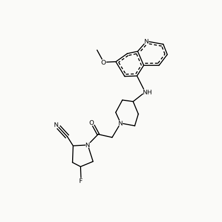 COc1cc(NC2CCN(CC(=O)N3CC(F)CC3C#N)CC2)c2cccnc2c1